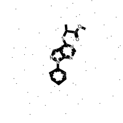 COC(=O)C(C)Sc1ncnc2c1cnn2-c1ccccc1